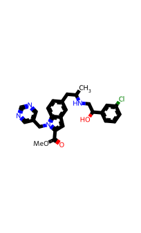 COC(=O)c1cc2cc(CC(C)NCC(O)c3cccc(Cl)c3)ccc2n1Cc1cncnc1